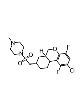 CN1CCN(S(=O)(=O)C[C@@H]2CCC3c4c(F)c(Cl)cc(F)c4OC[C@H]3C2)CC1